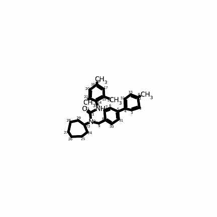 Cc1ccc(-c2ccc(CN(C(=O)Nc3c(C)cc(C)cc3C)C3CCCCCC3)cc2)cc1